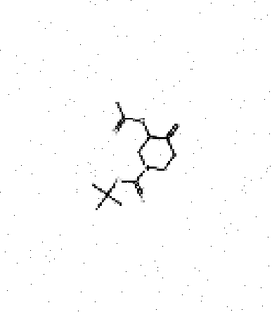 C=C1CCN(C(=O)OC(C)(C)C)CC1OC(C)=O